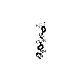 O=C(Nc1coc(-c2ccc(F)c(C(F)(F)F)c2)n1)c1ccc(Nc2ccncn2)cc1